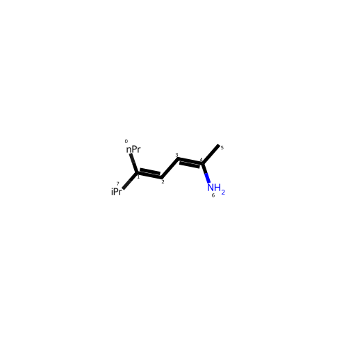 CCC/C(=C\C=C(\C)N)C(C)C